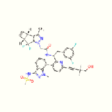 Cn1nc(NS(C)(=O)=O)c2cccc(-c3ccc(C#CC(C)(C)CO)nc3C(Cc3cc(F)cc(F)c3)NC(=O)Cn3nc(C(F)(F)F)c4c3C(F)(F)[C@@H]3C#C[C@H]43)c21